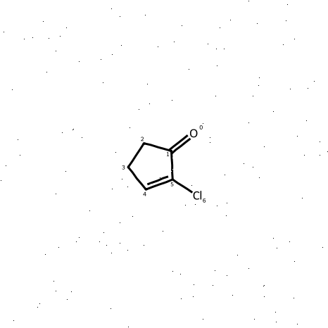 O=C1CCC=C1Cl